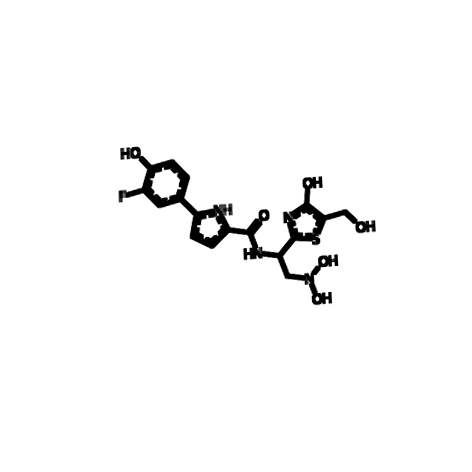 O=C(NC(CN(O)O)c1nc(O)c(CO)s1)c1ccc(-c2ccc(O)c(F)c2)[nH]1